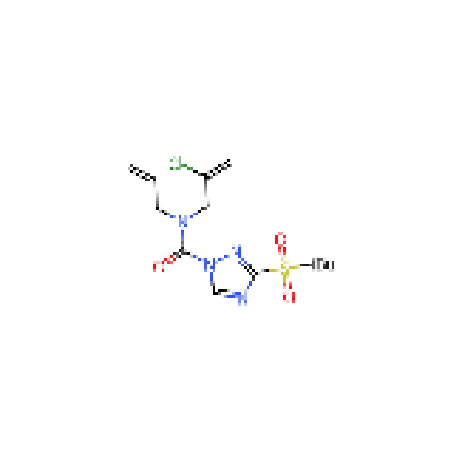 C=CCN(CC(=C)Cl)C(=O)n1cnc(S(=O)(=O)C(C)CC)n1